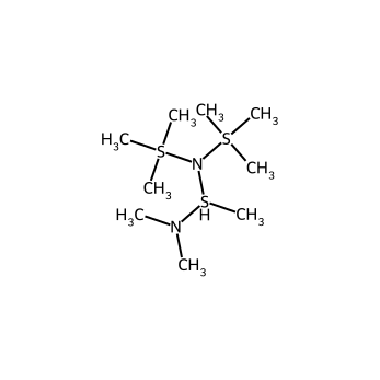 CN(C)[SH](C)N(S(C)(C)C)S(C)(C)C